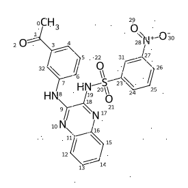 CC(=O)c1cccc(Nc2nc3ccccc3nc2NS(=O)(=O)c2cccc([N+](=O)[O-])c2)c1